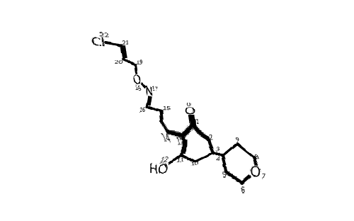 O=C1CC(C2CCOCC2)CC(O)=C1CCC=NOC/C=C/Cl